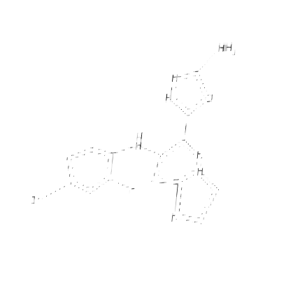 Nc1nnc(-c2nn3ccnc3cc2Nc2ccc(Br)cc2F)o1